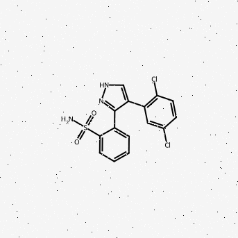 NS(=O)(=O)c1ccccc1-c1n[nH]cc1-c1cc(Cl)ccc1Cl